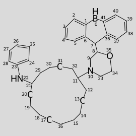 B1c2ccccc2C(C2CN(C3CCCCCCCCCC(Nc4ccccc4)CCCC3)CCO2)c2ccccc21